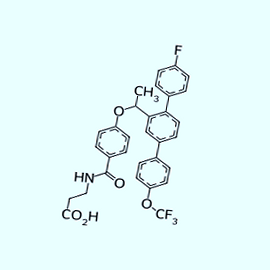 CC(Oc1ccc(C(=O)NCCC(=O)O)cc1)c1cc(-c2ccc(OC(F)(F)F)cc2)ccc1-c1ccc(F)cc1